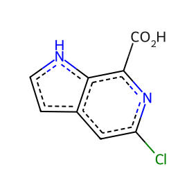 O=C(O)c1nc(Cl)cc2cc[nH]c12